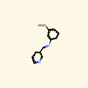 COc1cccc(N=Cc2cccnc2)c1